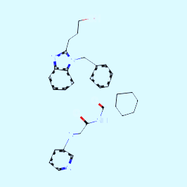 O=C(CNc1cccnc1)NC(=O)[C@H]1CCCC[C@H]1c1ccc(Cn2c(CCCO)nc3ccccc32)cc1